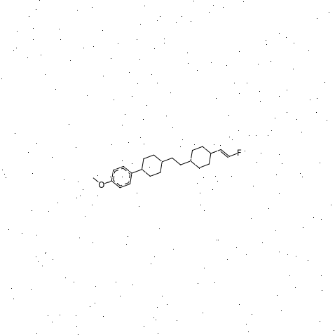 COc1ccc(C2CCC(CCC3CCC(C=CF)CC3)CC2)cc1